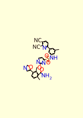 Cc1cc(NS(=O)(=O)c2ccnc(OCc3c(-c4cnco4)ccc(C)c3C(N)=O)n2)cc(-c2ccc(C#N)c(C#N)n2)c1